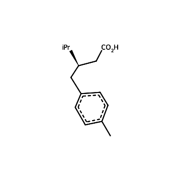 Cc1ccc(C[C@H](CC(=O)O)C(C)C)cc1